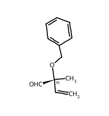 C=C[C@](C)(C=O)OCc1ccccc1